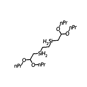 CCCOC(C[SiH2]CC[SiH2]CC(OCCC)OCCC)OCCC